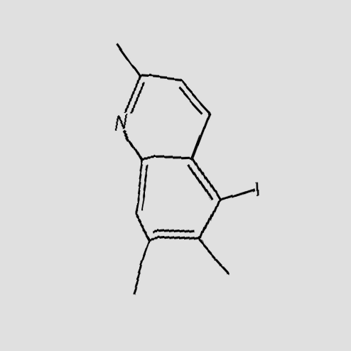 Cc1ccc2c(I)c(C)c(C)cc2n1